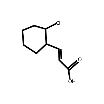 O=C(O)C=CC1CCCCC1Cl